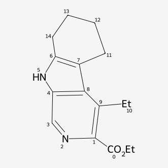 CCOC(=O)c1ncc2[nH]c3c(c2c1CC)CCCC3